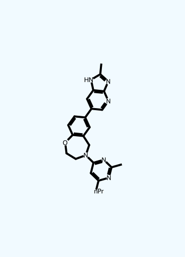 CCCc1cc(N2CCOc3ccc(-c4cnc5nc(C)[nH]c5c4)cc3C2)nc(C)n1